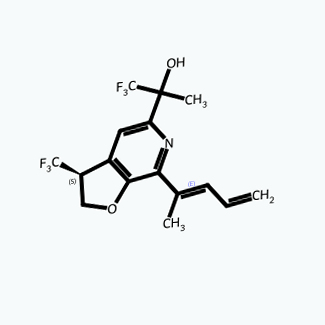 C=C/C=C(\C)c1nc(C(C)(O)C(F)(F)F)cc2c1OC[C@H]2C(F)(F)F